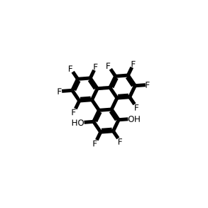 Oc1c(F)c(F)c(O)c2c1c1c(F)c(F)c(F)c(F)c1c1c(F)c(F)c(F)c(F)c21